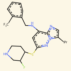 CC(C)c1cnc2c(NCc3ccccc3C(F)(F)F)cc(SC3CCNCC3F)nn12